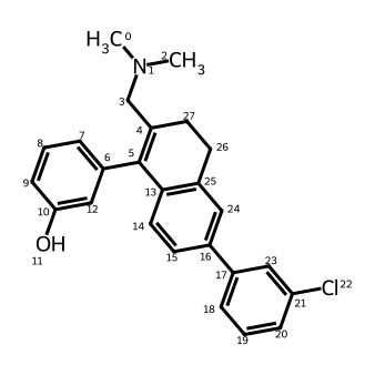 CN(C)CC1=C(c2cccc(O)c2)c2ccc(-c3cccc(Cl)c3)cc2CC1